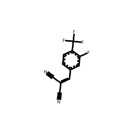 N#CC(C#N)=Cc1ccc(C(F)(F)F)c(F)c1